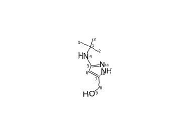 CC(C)(C)Nc1cc(CO)[nH]n1